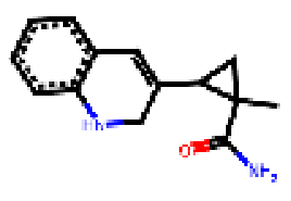 CC1(C(N)=O)CC1C1=Cc2ccccc2NC1